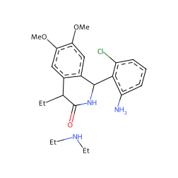 CCC1C(=O)NC(c2c(N)cccc2Cl)c2cc(OC)c(OC)cc21.CCNCC